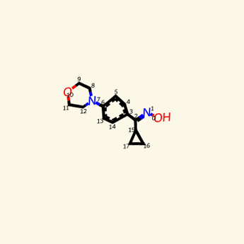 ON=C(c1ccc(N2CCOCC2)cc1)C1CC1